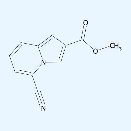 COC(=O)c1cc2cccc(C#N)n2c1